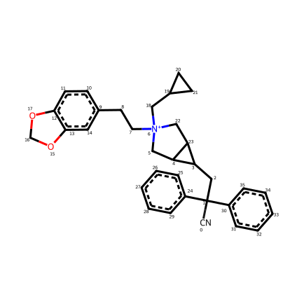 N#CC(CC1C2C[N+](CCc3ccc4c(c3)OCO4)(CC3CC3)CC12)(c1ccccc1)c1ccccc1